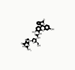 Nc1nc2c(ncn2[C@H]2C[C@H](NC(=S)Nc3c(O)ccc4c3Oc3cc(O)ccc3C43OC(=O)c4ccccc43)[C@@H](CO)O2)c(=O)[nH]1